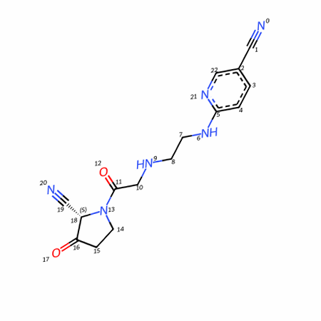 N#Cc1ccc(NCCNCC(=O)N2CCC(=O)[C@@H]2C#N)nc1